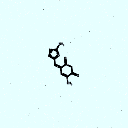 CC1=C/C(=C/c2cnc(N)s2)C(=O)CC1=O